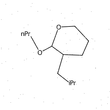 CCCOC1OCCCC1CC(C)C